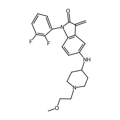 C=C1C(=O)N(c2cccc(F)c2F)c2ccc(NC3CCN(CCOC)CC3)cc21